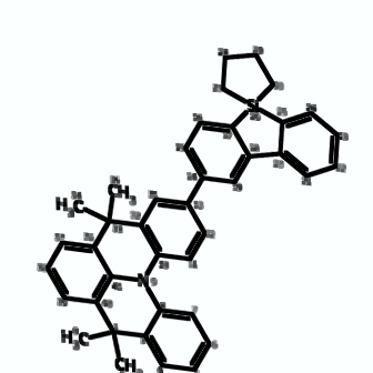 CC1(C)c2ccccc2N2c3ccc(-c4ccc5c(c4)-c4ccccc4[Si]54CCCC4)cc3C(C)(C)c3cccc1c32